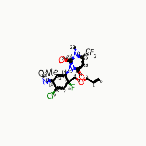 C=CCOCC1(F)C=C(Cl)C(=NOC)C=C1n1c(=O)cc(C(F)(F)F)n(C)c1=O